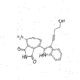 Nc1ccc(-c2[nH]c3ccccc3c2C#CCCO)c2c1C(=O)NC2=O